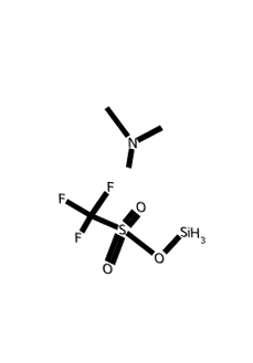 CN(C)C.O=S(=O)(O[SiH3])C(F)(F)F